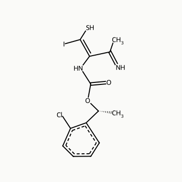 CC(=N)/C(NC(=O)O[C@H](C)c1ccccc1Cl)=C(\S)I